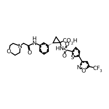 O=C(CN1CCOCC1)Nc1cccc([C@@H]2CC2(NS(=O)(=O)c2ccc(-c3cc(C(F)(F)F)on3)s2)C(=O)O)c1